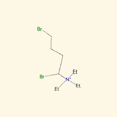 CC[N+](CC)(CC)C(Br)CCCBr